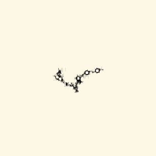 COc1ccc(COc2ccc(CNc3ncnc4c3ncn4C3OC(COC(=O)NCC(=O)NC4CC(C)N(CC(N)=O)C4=O)C4OC(C)(C)OC43)cc2)cc1